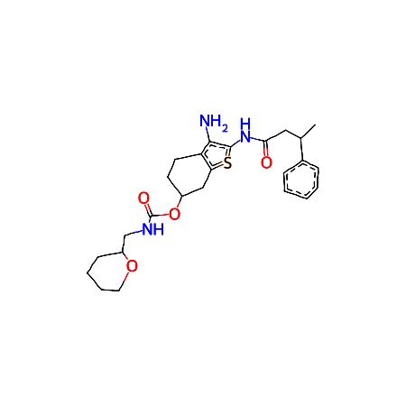 CC(CC(=O)Nc1sc2c(c1N)CCC(OC(=O)NCC1CCCCO1)C2)c1ccccc1